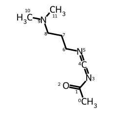 CC(=O)N=C=NCCCN(C)C